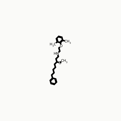 COC(CCCCCc1ccccc1)CCNCCOc1c(C)cccc1C